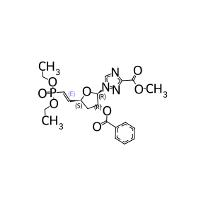 CCOP(=O)(/C=C/[C@@H]1C[C@@H](OC(=O)c2ccccc2)[C@H](n2cnc(C(=O)OC)n2)O1)OCC